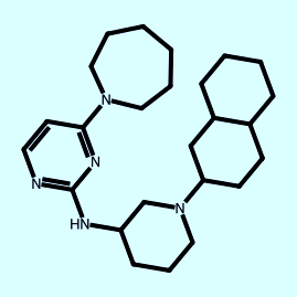 c1cc(N2CCCCCC2)nc(NC2CCCN(C3CCC4CCCCC4C3)C2)n1